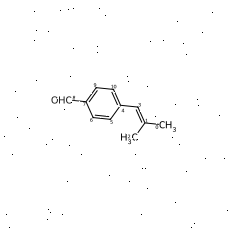 CC(C)=Cc1ccc(C=O)cc1